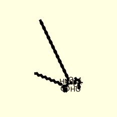 CC#CC#CC#CC#CC#CC#CC#CC#CC#CC#CC#CC#CC(=O)N[C@@H](CO[C@H]1OC(CO)[C@H](C)[C@H](C)C1C)[C@@H]1OC(C)(C)O[C@@H]1C=CCCCCCCCCCCCC